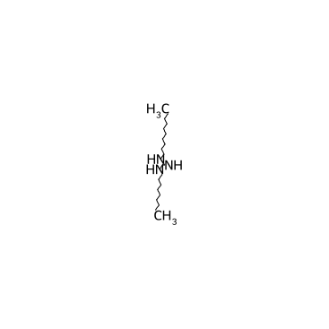 CCCCCCCCCCNC(=N)NCCCCCCCCC